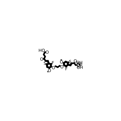 COc1cc2sc(C(=O)CCC(=O)O)cc2c(F)c1OCCCOc1c(OC)cc2sc(C(=O)CP(=O)(O)O)cc2c1F